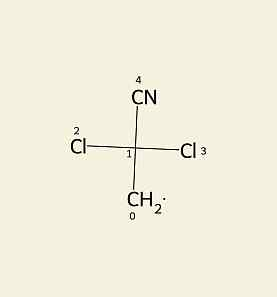 [CH2]C(Cl)(Cl)C#N